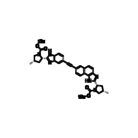 C[C@H]1C[C@@H](c2nc3cc(C#Cc4ccc5c(ccc6nc([C@@H]7C[C@H](C)CN7C(=O)OC(C)(C)C)[nH]c65)c4)ccc3[nH]2)N(C(=O)OC(C)(C)C)C1